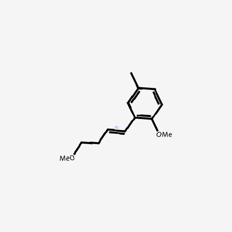 COCC/C=C/c1cc(C)ccc1OC